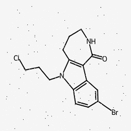 O=C1NCCCc2c1c1cc(Br)ccc1n2CCCCl